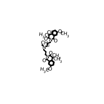 CCN(CCCN1C(=O)c2cc(OC)ccc2C(C)(C)C1=O)CCCN1C(=O)c2cc(OC)ccc2C(C)(C)C1=O